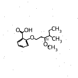 CCC(C)[C@H](CCOc1ccccc1C(=O)O)OC